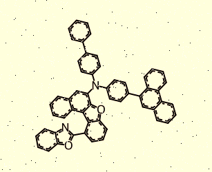 c1ccc(-c2ccc(N(c3ccc(-c4cc5ccccc5c5ccccc45)cc3)c3cc4ccccc4c4c3oc3cccc(-c5nc6ccccc6o5)c34)cc2)cc1